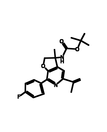 C=C(C)c1cc2c(c(-c3ccc(F)cc3)n1)OCC2(C)NC(=O)OC(C)(C)C